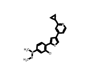 CSN(C)c1ccc(-c2cc(-c3ccnc(C4CC4)c3)cs2)c(Cl)c1